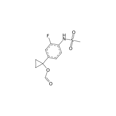 CS(=O)(=O)Nc1ccc(C2(OC=O)CC2)cc1F